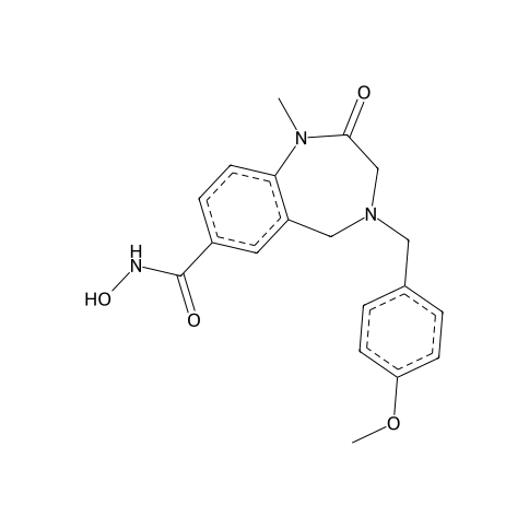 COc1ccc(CN2CC(=O)N(C)c3ccc(C(=O)NO)cc3C2)cc1